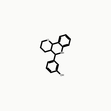 Oc1cccc(C2Nc3ccccc3C3OCCCC23)c1